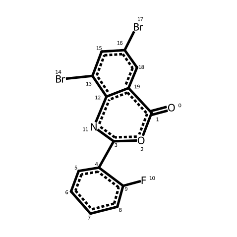 O=c1oc(-c2ccccc2F)nc2c(Br)cc(Br)cc12